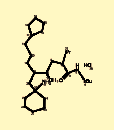 CCCCNC(=O)C(CC(O)C(CCCC1CCCC1)CC1(N)CCCCC1)C(C)C.Cl